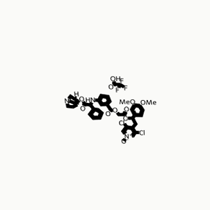 COc1ccc(C(Cc2c(Cl)c[n+]([O-])cc2Cl)OC(=O)COC(=O)c2cccc(NC(C(=O)O[C@H]3CN4CCC3CC4)c3ccccc3)c2)cc1OC.O=C(O)C(F)(F)F